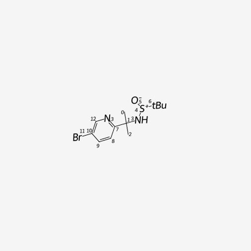 CC(C)(N[S+]([O-])C(C)(C)C)c1ccc(Br)cn1